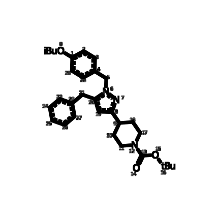 CC(C)COc1ccc(Cn2nc(C3CCN(C(=O)OC(C)(C)C)CC3)cc2Cc2ccccc2)cc1